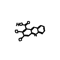 O=C(O)c1c(Cl)c(Cl)cc2nc3ccccc3cc12